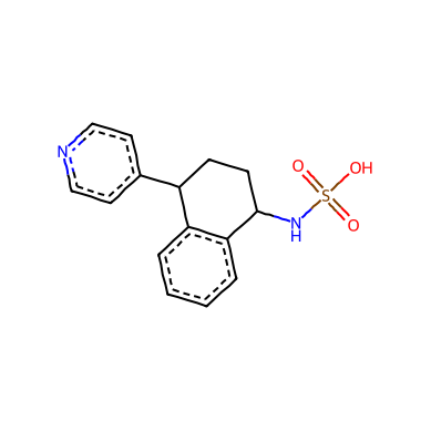 O=S(=O)(O)NC1CCC(c2ccncc2)c2ccccc21